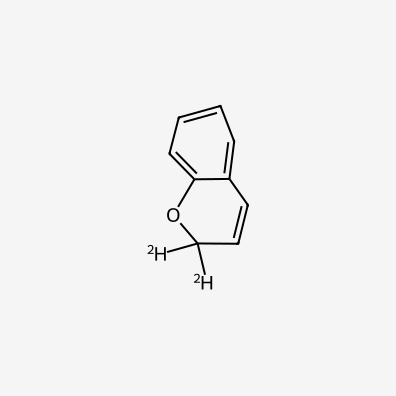 [2H]C1([2H])C=Cc2ccccc2O1